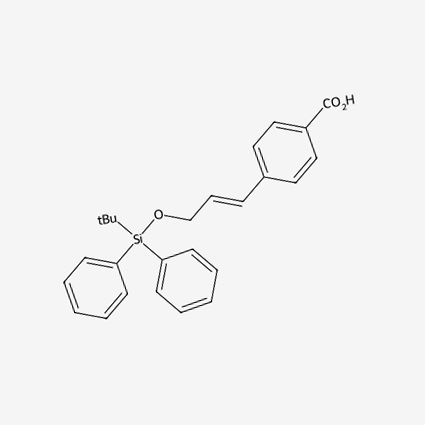 CC(C)(C)[Si](OCC=Cc1ccc(C(=O)O)cc1)(c1ccccc1)c1ccccc1